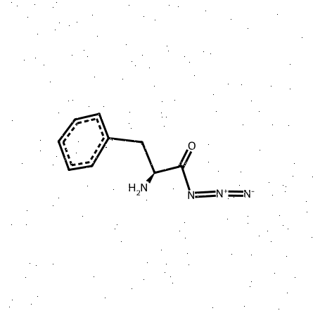 [N-]=[N+]=NC(=O)[C@@H](N)Cc1ccccc1